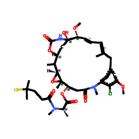 COc1cc2cc(c1Cl)N(C)C(=O)C[C@H](OC(=O)[C@H](C)N(C)C(=O)CCC(C)(C)S)[C@]1(C)O[C@H]1C(C)[C@@H]1C[C@@](O)(NC(=O)O1)[C@H](OC)/C=C/C=C(\C)C2